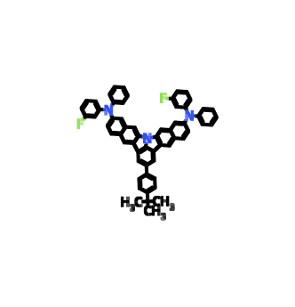 CC(C)(C)c1ccc(-c2cc3c4cc5ccc(N(c6ccccc6)c6cccc(F)c6)cc5cc4n4c5cc6cc(N(c7ccccc7)c7cccc(F)c7)ccc6cc5c(c2)c34)cc1